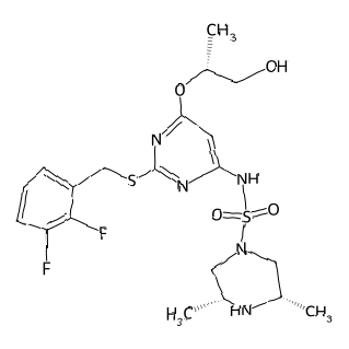 C[C@@H]1CN(S(=O)(=O)Nc2cc(O[C@H](C)CO)nc(SCc3cccc(F)c3F)n2)C[C@H](C)N1